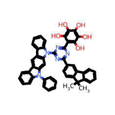 CC1(C)c2ccccc2-c2cc(-c3nc(-c4c(O)c(O)c(O)c(O)c4O)nc(-n4c5ccccc5c5cc6c7ccccc7n(-c7ccccc7)c6cc54)n3)ccc21